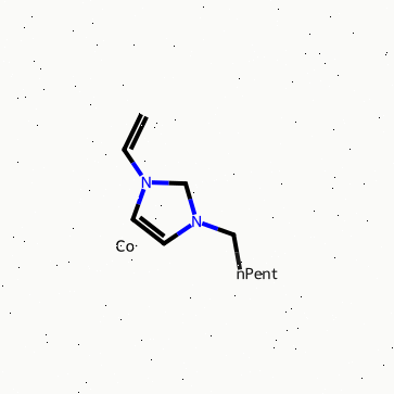 C=CN1C=CN(CCCCCC)C1.[Co]